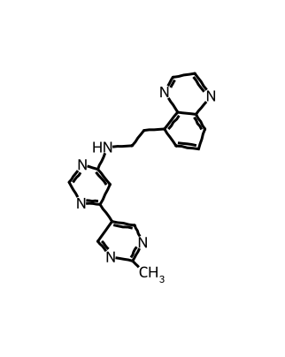 Cc1ncc(-c2cc(NCCc3cccc4nccnc34)ncn2)cn1